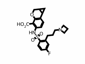 O=C(O)c1c(NS(=O)(=O)c2ccc(F)cc2CCCN2CCC2)ccc2c1OCC1CC21